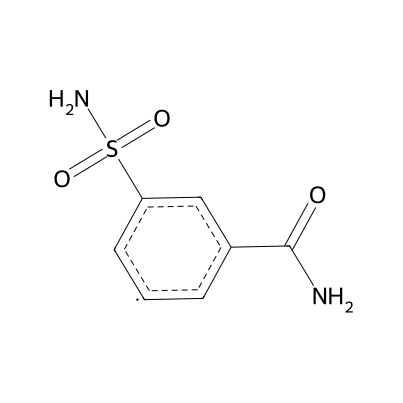 NC(=O)c1c[c]cc(S(N)(=O)=O)c1